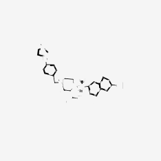 CC(C)[C@H]1C(=O)N(Cc2ccc(-n3ccnc3)cc2)CCN1S(=O)(=O)c1ccc2cc(Cl)ccc2c1